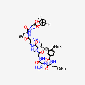 CCCCCCc1ccc(C(=O)N[C@H](CCOCC(C)C)C(=O)N[C@H](N)C(=O)NCC(=O)N(C)[C@H](C(=O)NC[C@@H](N)C(=O)N[C@@H](CC(C)C)C(=O)NCB2O[C@]3(C)C[C@@H]4C[C@@H](C4(C)C)[C@]3(C)O2)C(C)OCC(C)C)cc1